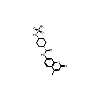 Cc1cc(=O)oc2cc(NC(=O)[C@H]3CC[C@H](NS(=O)(=O)C(C)(C)C)CC3)ccc12